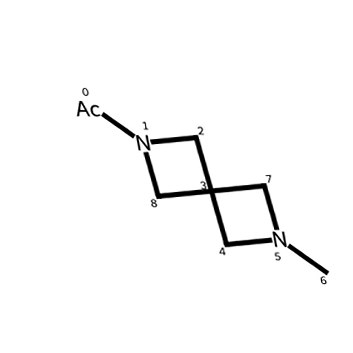 CC(=O)N1CC2(CN(C)C2)C1